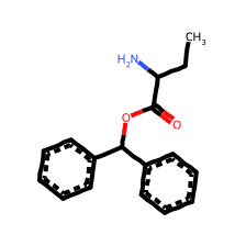 CCC(N)C(=O)OC(c1ccccc1)c1ccccc1